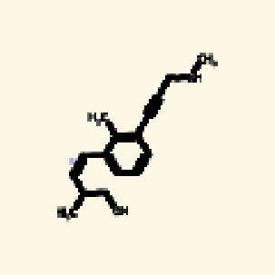 CNCC#Cc1cccc(/C=C\C(C)CO)c1C